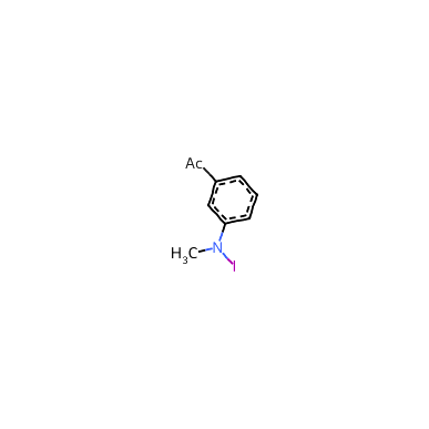 CC(=O)c1cccc(N(C)I)c1